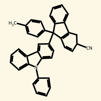 Cc1ccc(C2(c3ccc4c(c3)c3ccccc3n4-c3ccccc3)C3=C(CC(C#N)C=C3)c3ccccc32)cc1